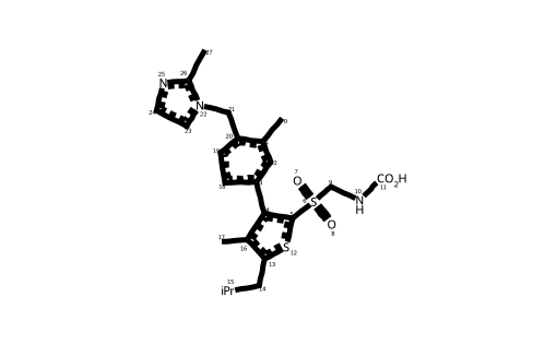 Cc1cc(-c2c(S(=O)(=O)CNC(=O)O)sc(CC(C)C)c2C)ccc1Cn1ccnc1C